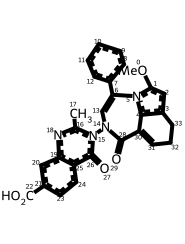 COc1cc2c3n1C(c1ccccc1)=CN(n1c(C)nc4cc(C(=O)O)ccc4c1=O)C(=O)C3=CCC2